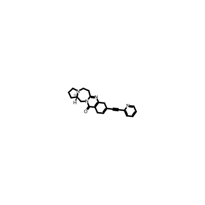 O=c1c2c(nc3n1C[C@@H]1CCCN1CC3)CC(C#Cc1ccccn1)=CC2